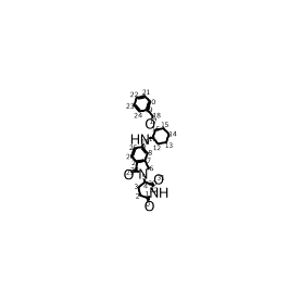 O=C1CCC(N2Cc3cc(NC4CCCCC4OCc4ccccc4)ccc3C2=O)C(=O)N1